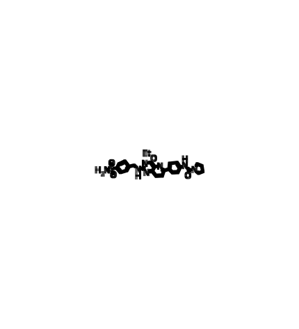 CCOc1nc(NCc2ccc(S(N)(=O)=O)cc2)nc2ccc(-c3ccc(NC(=O)N4CCCC4)cc3)nc12